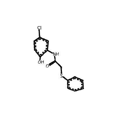 O=C(CSc1ccccc1)Nc1cc(Cl)ccc1O